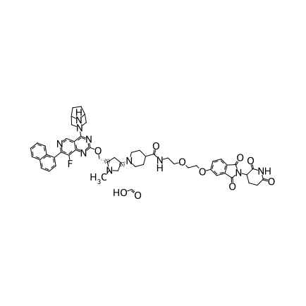 CN1C[C@@H](N2CCC(C(=O)NCCOCCOc3ccc4c(c3)C(=O)N(C3CCC(=O)NC3=O)C4=O)CC2)C[C@H]1COc1nc(N2CC3CCC(C2)N3)c2cnc(-c3cccc4ccccc34)c(F)c2n1.O=CO